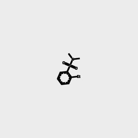 CCc1ccccc1S(=O)(=O)N(C)C